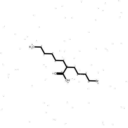 CCCCCCC(CCCCBr)C(=O)O